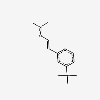 C[SiH](C)OC=Cc1cccc(C(C)(C)C)c1